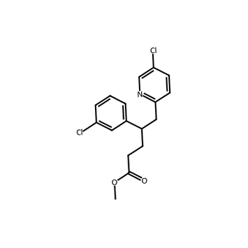 COC(=O)CCC(Cc1ccc(Cl)cn1)c1cccc(Cl)c1